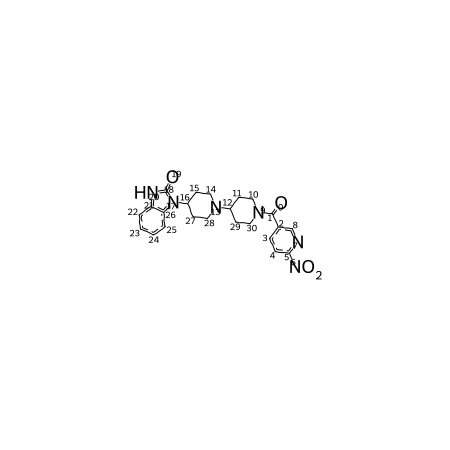 O=C(c1ccc([N+](=O)[O-])nc1)N1CCC(N2CCC(n3c(=O)[nH]c4ccccc43)CC2)CC1